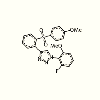 COc1ccc(S(=O)(=O)c2ccccc2-c2cn(-c3c(F)cccc3OC)nn2)cc1